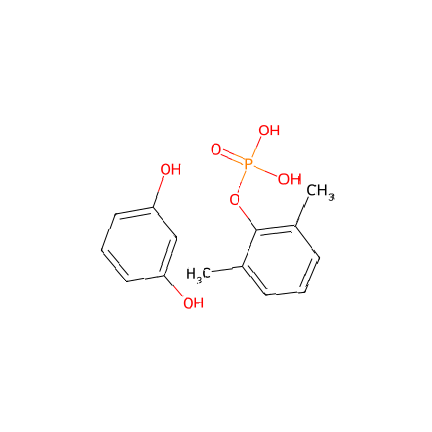 Cc1cccc(C)c1OP(=O)(O)O.Oc1cccc(O)c1